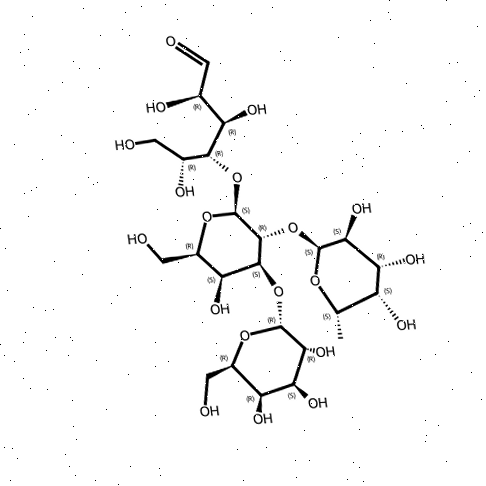 C[C@@H]1O[C@@H](O[C@H]2[C@H](O[C@@H]([C@H](O)[C@@H](O)C=O)[C@H](O)CO)O[C@H](CO)[C@H](O)[C@@H]2O[C@H]2O[C@H](CO)[C@H](O)[C@H](O)[C@H]2O)[C@@H](O)[C@H](O)[C@@H]1O